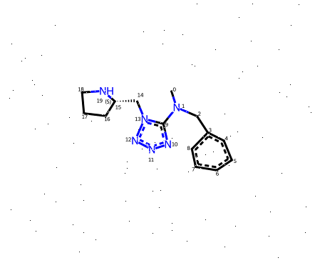 CN(Cc1ccccc1)c1nnnn1C[C@@H]1CCCN1